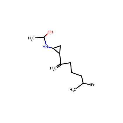 C=C(CCCC(C)C(C)C)C1CC1NC(C)O